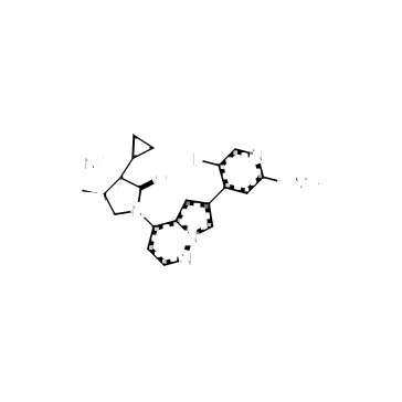 COc1cc(-c2cc3c(N4C[C@@H](C)[C@@](C#N)(C5CC5)C4=O)ccnn3c2)c(F)cn1